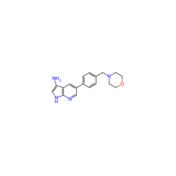 Nc1c[nH]c2ncc(-c3ccc(CN4CCOCC4)cc3)cc12